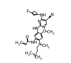 C=CC(=O)Nc1cc(Nc2ncc(C#N)c(NC34CC(F)(C3)C4)n2)c(OC)cc1N(C)CCN(C)C